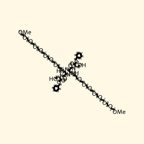 COCCOCCOCCOCCOCCOCCOCCOCCCNc1nc(C(=O)N[C@H](CO)C(=O)OCc2ccccc2)c(NCCCOCCOCCOCCOCCOCCOCCOCCOC)nc1C(=O)N[C@H](CO)C(=O)OCc1ccccc1